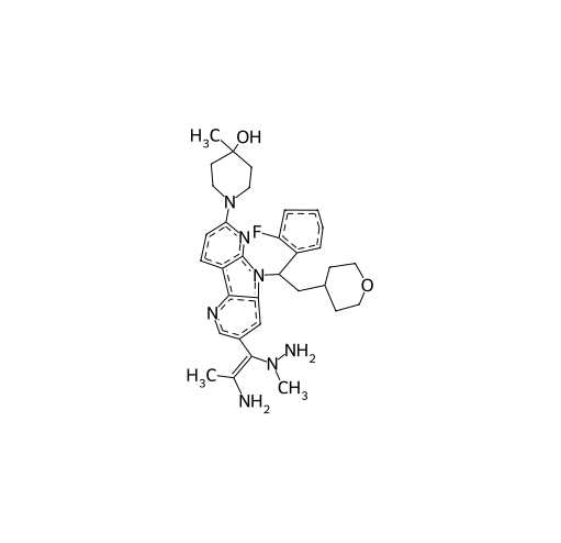 C/C(N)=C(\c1cnc2c3ccc(N4CCC(C)(O)CC4)nc3n(C(CC3CCOCC3)c3ccccc3F)c2c1)N(C)N